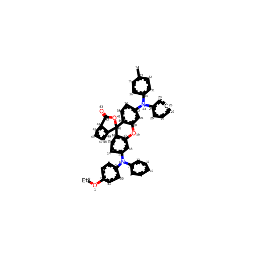 CCOc1ccc(N(c2ccccc2)c2ccc3c(c2)Oc2cc(N(c4ccccc4)c4ccc(C)cc4)ccc2C32OC(=O)c3ccccc32)cc1